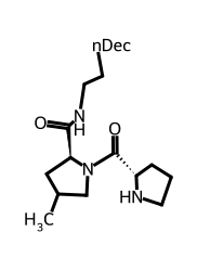 CCCCCCCCCCCCNC(=O)[C@@H]1CC(C)CN1C(=O)[C@@H]1CCCN1